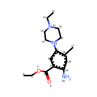 CCOC(=O)c1cc(N2CCN(CC)CC2)c(C)cc1N